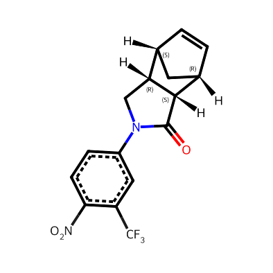 O=C1[C@@H]2[C@H](CN1c1ccc([N+](=O)[O-])c(C(F)(F)F)c1)[C@@H]1C=C[C@H]2C1